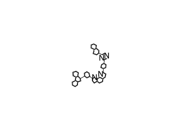 c1cc(-c2ccc3ccc4ccc(-c5ccc(-c6cncc(-c7ccc8ccccc8c7)n6)cc5)nc4c3n2)cc(-c2cc3ccccc3c3ccccc23)c1